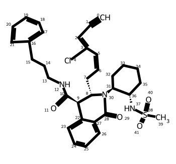 C#C/C=C(Cl)\C=C/C[C@H]1[C@H](C(=O)NCCCc2ccccc2)c2ccccc2C(=O)N1[C@H]1CCCC[C@@H]1NS(C)(=O)=O